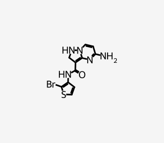 NC1=NC2=C(C(=O)Nc3ccsc3Br)CNN2C=C1